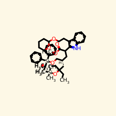 CCC(CC)(C[C@H](CO[Si](c1ccccc1)(c1ccccc1)C(C)(C)C)CC(C(=O)OC)c1[nH]c2ccccc2c1CCOC1CCCCO1)O[Si](C)(C)C